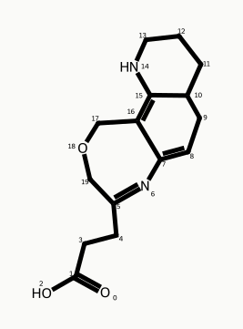 O=C(O)CCC1=NC2=CCC3CCCNC3=C2COC1